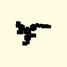 CCOc1ccc(-c2nc(-c3ccc(OCCOC)cc3)nc(-c3ccc(OCC)cc3O)n2)c(O)c1